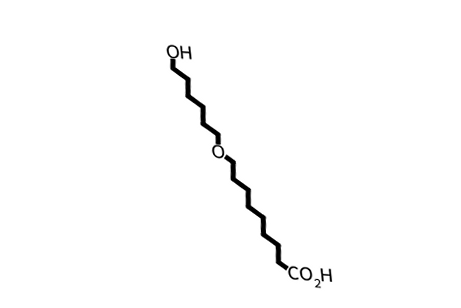 O=C(O)CCCCCCCCOCCCCCCO